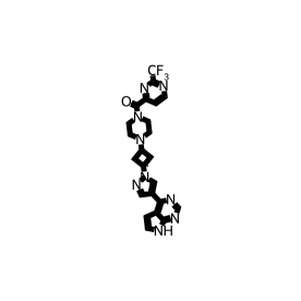 O=C(c1ccnc(C(F)(F)F)n1)N1CCN(C2C[C](n3cc(-c4ncnc5[nH]ccc45)cn3)C2)CC1